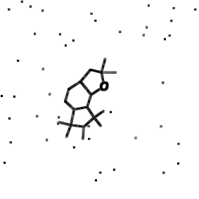 CC1C(C)(C)C2CCC3CC(C)(C)OC3C2C1(C)C